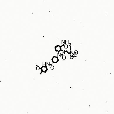 COc1cc(NC(=O)[C@H]2CC[C@@H](n3c(=O)n(CCNS(C)(=O)=O)c4c(C(N)=O)cccc43)CC2)ccc1C